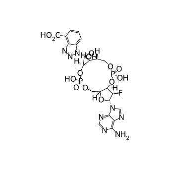 Nc1ncnc2c1ncn2[C@@H]1O[C@@H]2COP(=O)(O)O[C@@H]3[C@H](O)[C@@H](COP(=O)(O)O[C@H]2[C@H]1F)O[C@H]3n1nnc2c(C(=O)O)cccc21